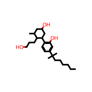 CCCCCCC(C)(C)c1ccc(C2CC(O)CC(C)C2CCCO)c(O)c1